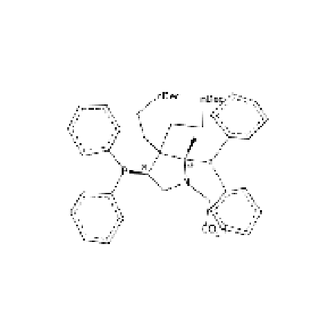 CCCCCCCCCCCCC1(CCCCCCCCCCCC)[C@H](P(c2ccccc2)c2ccccc2)CN(CC(=O)O)[C@@]1(C)P(c1ccccc1)c1ccccc1